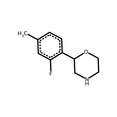 Cc1ccc(C2CNCCO2)c(F)c1